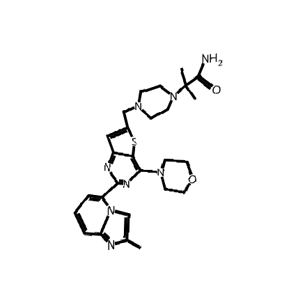 Cc1cn2c(-c3nc(N4CCOCC4)c4sc(CN5CCN(C(C)(C)C(N)=O)CC5)cc4n3)cccc2n1